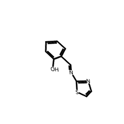 Oc1ccccc1/C=N/c1nccs1